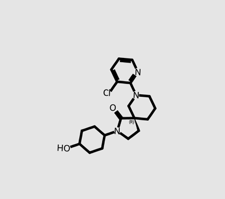 O=C1N(C2CCC(O)CC2)CC[C@@]12CCCN(c1ncccc1Cl)C2